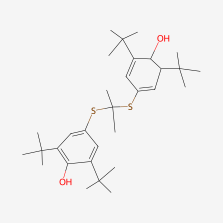 CC(C)(SC1=CC(C(C)(C)C)C(O)C(C(C)(C)C)=C1)Sc1cc(C(C)(C)C)c(O)c(C(C)(C)C)c1